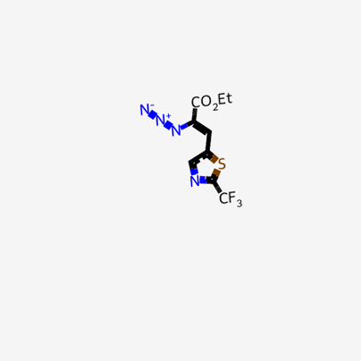 CCOC(=O)/C(=C/c1cnc(C(F)(F)F)s1)N=[N+]=[N-]